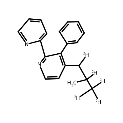 [2H]C(c1ccnc(-c2ccccn2)c1-c1ccccc1)C([2H])(C)C([2H])([2H])[2H]